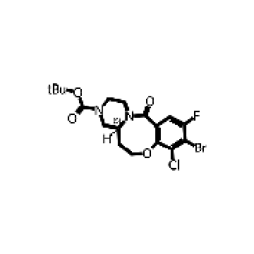 CC(C)(C)OC(=O)N1CCN2C(=O)c3cc(F)c(Br)c(Cl)c3OCC[C@H]2C1